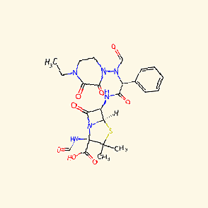 CCN1CCN(N(C=O)C(C(=O)N[C@@H]2C(=O)N3[C@@H]2SC(C)(C)[C@]3(NC=O)C(=O)O)c2ccccc2)C(=O)C1=O